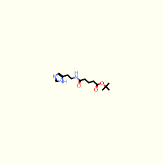 CC(C)(C)OC(=O)CCCC(=O)NCCc1cnc[nH]1